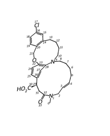 CN1C/C=C/CCCCN2CCCCc3cc(Cl)ccc3COc3ccc(cc32)[C@H](C(=O)O)CC1=O